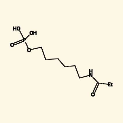 CCC(=O)NCCCCCCOP(=O)(O)O